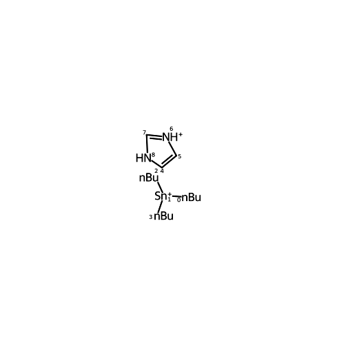 CCC[CH2][Sn+]([CH2]CCC)[CH2]CCC.c1c[nH+]c[nH]1